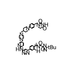 Cc1cc(-c2cc(Nc3ccc(N4CCN(CC5CCN(c6ccc(CN7CCC(=O)NC7=O)cc6)CC5)CC4)cn3)ncn2)ccc1[C@@H](C)NC(=O)c1nc(C(C)(C)C)no1